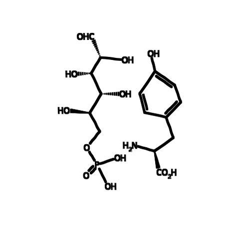 N[C@@H](Cc1ccc(O)cc1)C(=O)O.O=C[C@H](O)[C@@H](O)[C@H](O)[C@H](O)COP(=O)(O)O